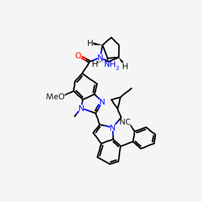 COc1cc(C(=O)N2C[C@H]3CC[C@@H]2[C@@H]3N)cc2nc(-c3cc4cccc(-c5ccccc5C#N)c4n3CC3CC3C)n(C)c12